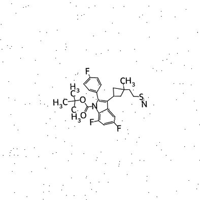 CC1(CCS#N)CC(c2c(-c3ccc(F)cc3)n(C(=O)OC(C)(C)C)c3c(F)cc(F)cc23)C1